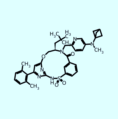 Cc1cccc(C)c1-c1cc2nc(n1)NS(=O)(=O)c1cccc(c1)C(=O)N(Cc1ccc(N(C)C34CC(C3)C4)cn1)[C@H](CC(C)(C)C)CO2